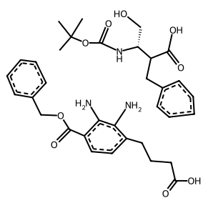 CC(C)(C)OC(=O)N[C@H](CO)C(Cc1ccccc1)C(=O)O.Nc1c(CCCC(=O)O)ccc(C(=O)OCc2ccccc2)c1N